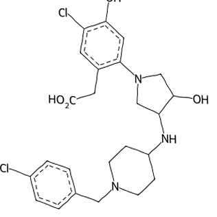 O=C(O)Cc1cc(Cl)c(O)cc1N1CC(O)C(NC2CCN(Cc3ccc(Cl)cc3)CC2)C1